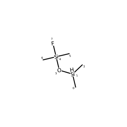 C[SiH](C)O[Si](C)(C)F